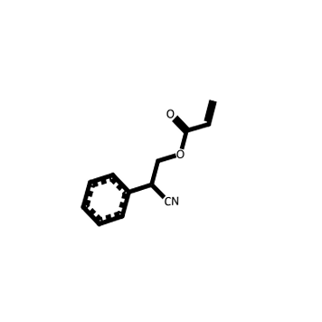 C=CC(=O)OCC(C#N)c1ccccc1